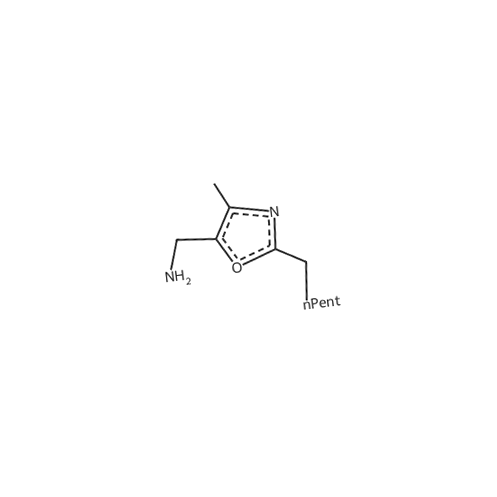 CCCCCCc1nc(C)c(CN)o1